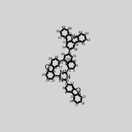 c1ccc(-c2nc(-c3ccc4c(c3)oc3ccccc34)nc(-c3cccc4oc5ccc(-c6cccc(-c7cc8c9ccccc9n9c%10ccccc%10c(c7)c89)c6)cc5c34)n2)cc1